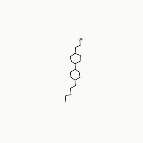 CCCCCC1CCC(C2CCC(CCO)CC2)CC1